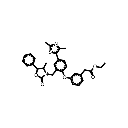 CCOC(=O)Cc1cccc(Oc2ccc(-c3sc(C)nc3C)cc2CN2C(=O)OC(c3ccccc3)C2C)c1